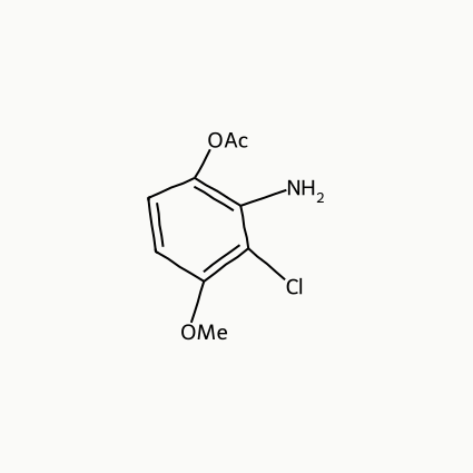 COc1ccc(OC(C)=O)c(N)c1Cl